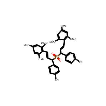 COc1cc(OC)c(C=CC(c2ccc(C#N)cc2)S(=O)(=O)C(C=Cc2c(OC)cc(OC)cc2OC)c2ccc(C#N)cc2)c(OC)c1